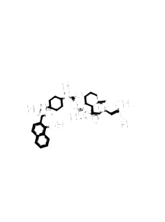 CO[C@@H]1[C@H](OC(=O)NC2CCC(N)(OC(=O)c3ccc4ccccc4c3O)CC2)CC[C@]2(CO2)[C@H]1[C@@]1(C)O[C@@H]1CC=C(C)C